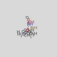 Br.CC1=C(C(=O)O)C(C)(c2cc(C#N)ccc2OCCCCNC[C@H](O)COc2ccccc2)C(C(=O)O)=C(C)N1C